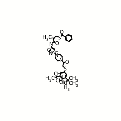 C[C@H](CSC(=O)c1ccccc1)C(=O)[N-]c1c[n+](N2CCN(C(=O)CSc3cc(C(C)(C)C)c(O)c(C(C)(C)C)c3)CC2)no1